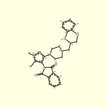 Cc1c(N2C(=O)c3ccccc3C2=O)c(N2CCN(CC3COc4ccccc4O3)CC2)nn1C